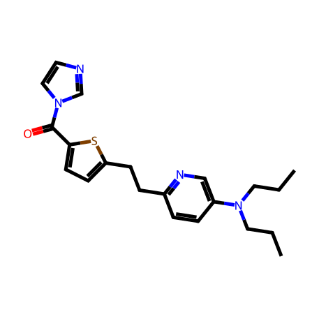 CCCN(CCC)c1ccc(CCc2ccc(C(=O)n3ccnc3)s2)nc1